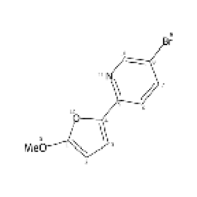 COc1ccc(-c2ccc(Br)cn2)o1